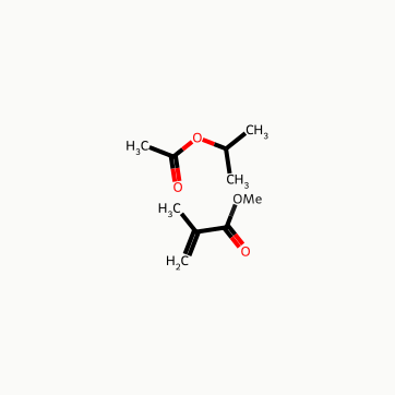 C=C(C)C(=O)OC.CC(=O)OC(C)C